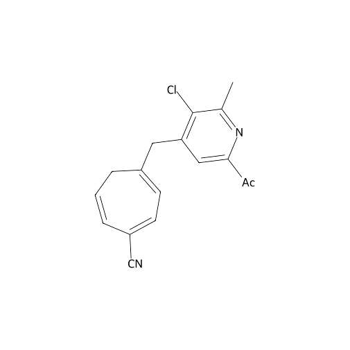 CC(=O)c1cc(CC2=CC=C(C#N)C=CC2)c(Cl)c(C)n1